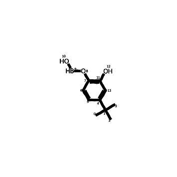 CC(C)(C)c1ccc(OBO)c(O)c1